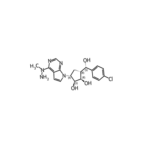 CN(N)c1ncnc2c1ccn2[C@@H]1C[C@H]([C@H](O)c2ccc(Cl)cc2)[C@@H](O)[C@H]1O